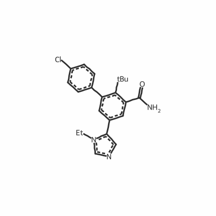 CCn1cncc1-c1cc(C(N)=O)c(C(C)(C)C)c(-c2ccc(Cl)cc2)c1